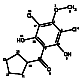 COc1c(Cl)c(O)c(C(=O)C2CCCC2)c(O)c1Cl